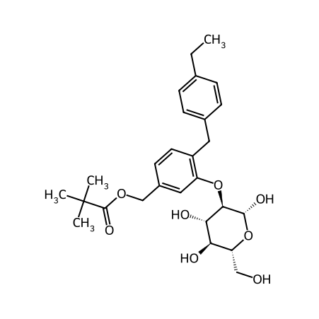 CCc1ccc(Cc2ccc(COC(=O)C(C)(C)C)cc2O[C@@H]2[C@@H](O)[C@H](O)[C@@H](CO)O[C@H]2O)cc1